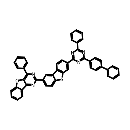 c1ccc(-c2ccc(-c3nc(-c4ccccc4)nc(-c4ccc5c(c4)sc4ccc(-c6nc(-c7ccccc7)c7oc8ccccc8c7n6)cc45)n3)cc2)cc1